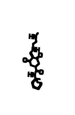 CNCCNC=C1C(=O)CC(C(=O)Nc2ccccc2)CC1=O